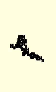 COc1ccc(/C=C/C(=O)NCCC[N+](C)(C)CC(O)CO)cc1